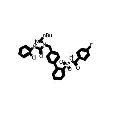 CCCCc1nn(-c2ccccc2Cl)c(=O)n1Cc1ccc(-c2ccccc2S(=O)(=O)NC(=O)c2ccc(F)cc2)cc1